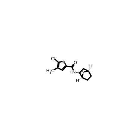 Cc1cc(C(=O)N[C@@H]2C[C@H]3CC[C@@H]2N3)sc1Cl